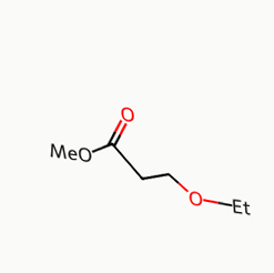 [CH2]COCCC(=O)OC